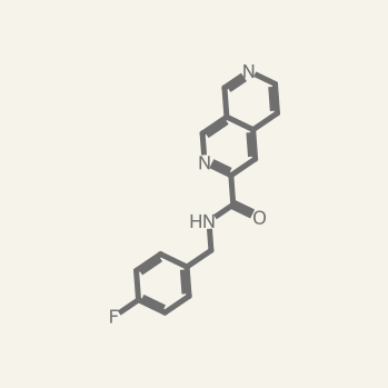 O=C(NCc1ccc(F)cc1)c1cc2ccncc2cn1